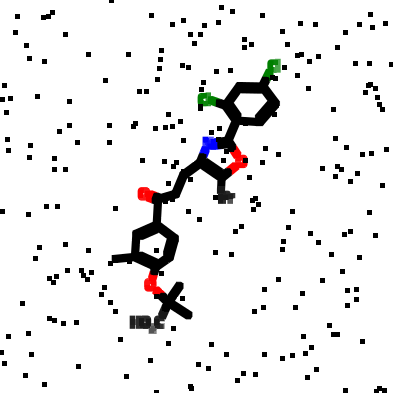 Cc1cc(C(=O)CCc2nc(-c3ccc(Cl)cc3Cl)oc2C(C)C)ccc1OC(C)(C)C(=O)O